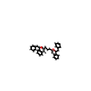 c1ccc(CC(O[SiH2]CCC[SiH2]OC(Cc2ccccc2)c2ccccc2)c2ccccc2)cc1